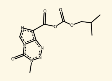 CC(C)COC(=O)OC(=O)c1ncn2c(=O)n(C)nnc12